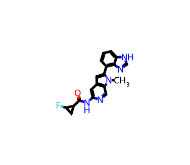 Cn1c(-c2cccc3[nH]cnc23)cc2cc(NC(=O)C3CC3F)ncc21